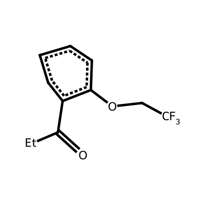 CCC(=O)c1ccccc1OCC(F)(F)F